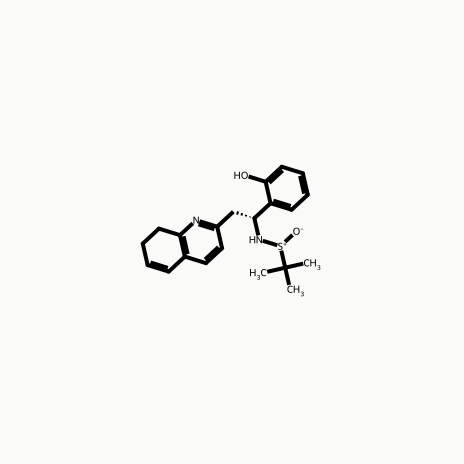 CC(C)(C)[S+]([O-])N[C@H](Cc1ccc2c(n1)CCC=C2)c1ccccc1O